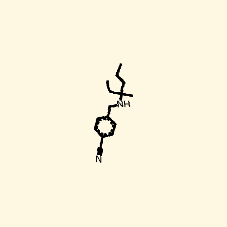 CCCC(C)(CC)NCc1ccc(C#N)cc1